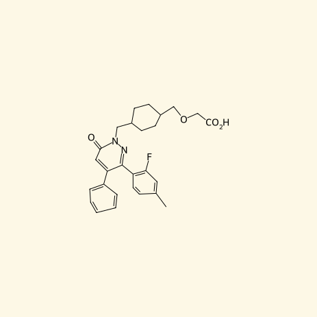 Cc1ccc(-c2nn(CC3CCC(COCC(=O)O)CC3)c(=O)cc2-c2ccccc2)c(F)c1